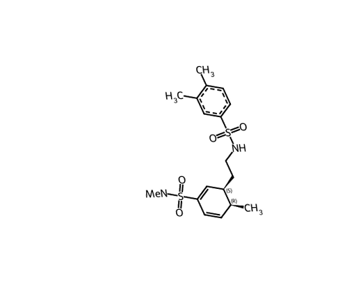 CNS(=O)(=O)C1=C[C@@H](CCNS(=O)(=O)c2ccc(C)c(C)c2)[C@@H](C)C=C1